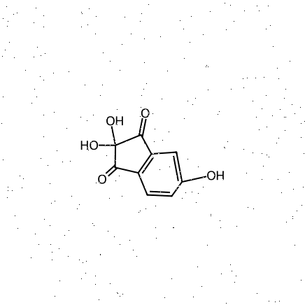 O=C1c2ccc(O)cc2C(=O)C1(O)O